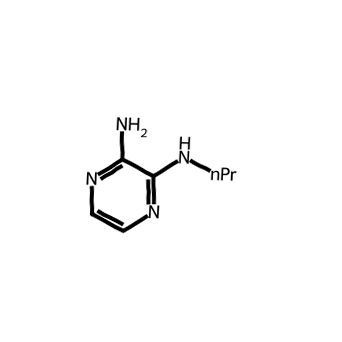 CCCNc1nccnc1N